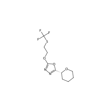 FC(F)(F)SCCOc1nnc([C@H]2CCCCO2)o1